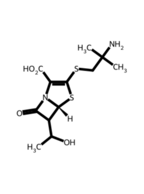 CC(O)C1C(=O)N2C(C(=O)O)=C(SCC(C)(C)N)S[C@H]12